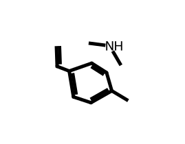 C=Cc1ccc(C)cc1.CNC